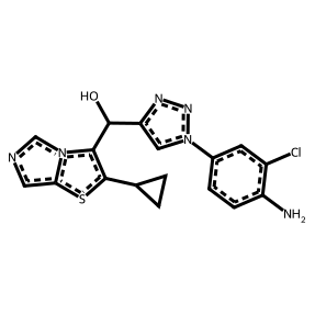 Nc1ccc(-n2cc(C(O)c3c(C4CC4)sc4cncn34)nn2)cc1Cl